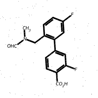 CN(C=O)Cc1ccc(F)cc1-c1ccc(C(=O)O)c(F)c1